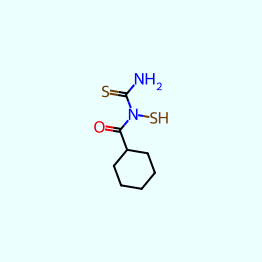 NC(=S)N(S)C(=O)C1CCCCC1